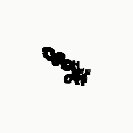 CC(C(=O)Nc1ccc(S(=O)(=O)N2CCSCC2)cc1)C(F)(F)F